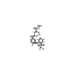 Cc1cnc(N[C@H]2CCCN(C(=O)CO)C2)nc1Nc1ccccc1S(=O)(=O)C(C)C